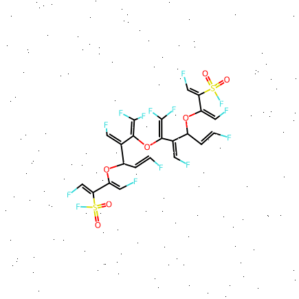 O=S(=O)(F)C(=CF)C(=CF)OC(C=CF)C(=CF)C(OC(C(=CF)C(C=CF)OC(=CF)C(=CF)S(=O)(=O)F)=C(F)F)=C(F)F